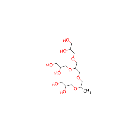 CC(COCC(COCC(O)CO)OCC(O)CO)OCC(O)CO